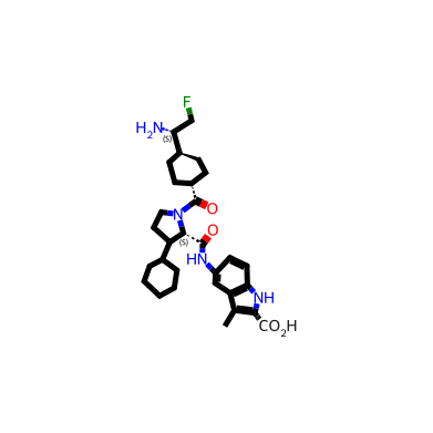 Cc1c(C(=O)O)[nH]c2ccc(NC(=O)[C@@H]3C(C4CCCCC4)CCN3C(=O)[C@H]3CC[C@H]([C@H](N)CF)CC3)cc12